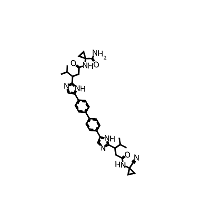 CC(C)C(CC(=O)NC1(C#N)CC1)c1ncc(-c2ccc(-c3ccc(-c4cnc(C(CC(=O)NC5(C(N)=O)CC5)C(C)C)[nH]4)cc3)cc2)[nH]1